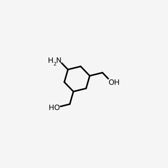 NC1CC(CO)CC(CO)C1